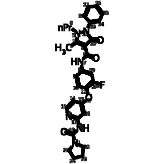 CCCn1c(C)c(C(=O)Nc2ccc(Oc3ccnc(NC(=O)N4CCCC4)c3)c(F)c2)c(=O)n1-c1ccccc1